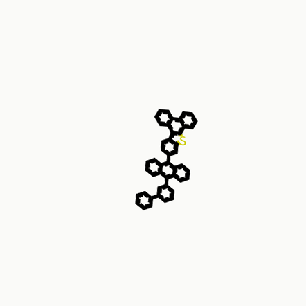 c1ccc(-c2cccc(-c3c4ccccc4c(-c4ccc5c(c4)sc4c6ccccc6c6ccccc6c54)c4ccccc34)c2)cc1